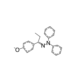 CCC(=NN(c1ccccc1)c1ccccc1)c1ccc(OC)cc1